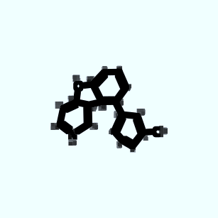 Clc1cccc(-c2cccc3oc4ccncc4c23)c1